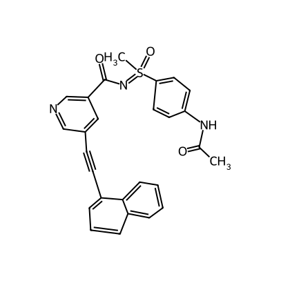 CC(=O)Nc1ccc(S(C)(=O)=NC(=O)c2cncc(C#Cc3cccc4ccccc34)c2)cc1